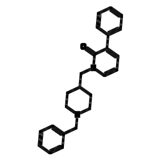 O=c1c(-c2ccccc2)cccn1CC1CCN(Cc2ccccc2)CC1